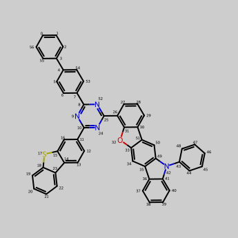 c1ccc(-c2ccc(-c3nc(-c4ccc5c(c4)sc4ccccc45)nc(-c4cccc5c4oc4cc6c7ccccc7n(-c7ccccc7)c6cc45)n3)cc2)cc1